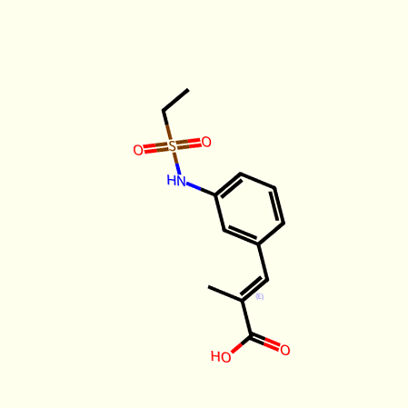 CCS(=O)(=O)Nc1cccc(/C=C(\C)C(=O)O)c1